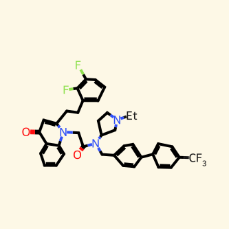 CCN1CCC(N(Cc2ccc(-c3ccc(C(F)(F)F)cc3)cc2)C(=O)Cn2c(CCc3cccc(F)c3F)cc(=O)c3ccccc32)C1